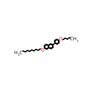 CCCCCCCCCCOc1ccc2cc(-c3ccc(OCCCCC)cc3)ccc2c1